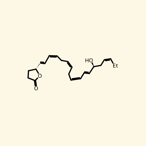 CC/C=C\C[C@H](O)/C=C/C=C\C/C=C\C/C=C\C=C\[C@H]1CCC(=O)O1